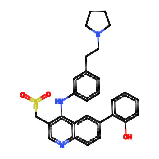 O=[SH](=O)Cc1cnc2ccc(-c3ccccc3O)cc2c1Nc1cccc(CCN2CCCC2)c1